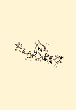 CC1=CC(C)(C)N(c2nc(-n3ccc(OCC(C)(C)C(F)(F)F)n3)ccc2C(=O)NS(=O)(=O)c2c[nH]nc2C)C1